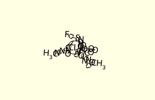 COc1ccccc1-c1nccc(COc2ccc3cc2C[C@@H](C(=O)OCc2oc(=O)oc2C)Oc2ncnc4sc(-c5ccc(F)cc5)c(c24)-c2ccc(c(Cl)c2)CN(CCN2CCN(C)CC2)C(=O)C3)n1